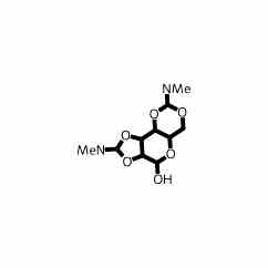 CNC1OCC2OC(O)C3OC(NC)OC3C2O1